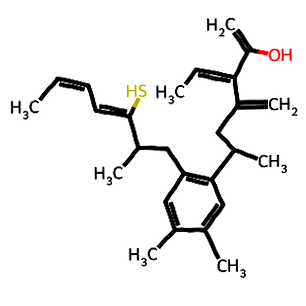 C=C(O)/C(=C/C)C(=C)CC(C)c1cc(C)c(C)cc1CC(C)/C(S)=C/C=C\C